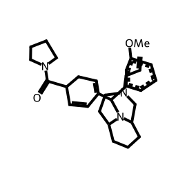 C=CCN1CCC2CCCC(C1)N2C(C1=CCC(C(=O)N2CCCC2)C=C1)c1cccc(OC)c1